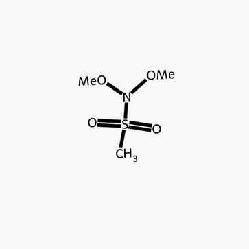 CON(OC)S(C)(=O)=O